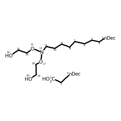 CCCCCCCCCCCC(=O)O.CCCCCCCCCCCCCCCCCCN(OCCO)OCCO